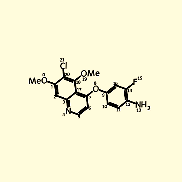 COc1cc2nccc(Oc3ccc(N)c(F)c3)c2c(OC)c1Cl